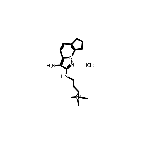 C[N+](C)(C)CCCNc1nn2c3c(ccc2c1N)CCC3.Cl.[Cl-]